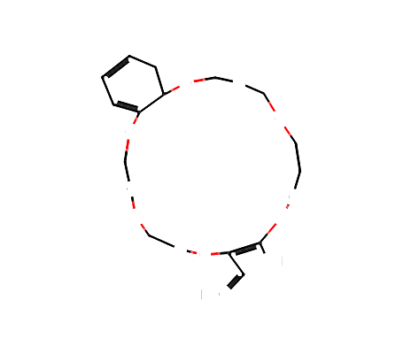 C=C/C1=C(\C)OCCCOCCCOC2CC=CC=C2OCCOCCO1